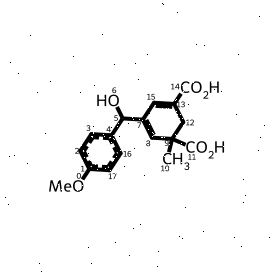 COc1ccc(C(O)C2=CC(C)(C(=O)O)CC(C(=O)O)=C2)cc1